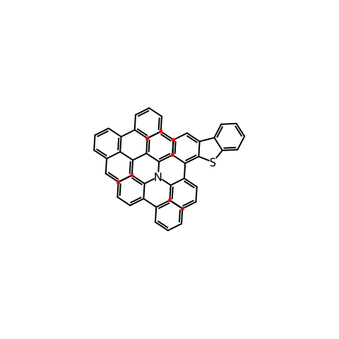 c1ccc(-c2ccccc2N(c2ccccc2-c2cccc3c2sc2ccccc23)c2ccccc2-c2cccc3cccc(-c4ccccc4)c23)cc1